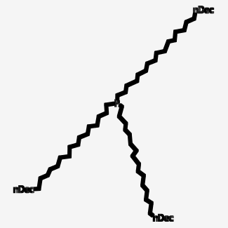 CCCCCCCCCCCCCCCCCCCCCCCCCCP(CCCCCCCCCCCCCCCCCCCCCCCCCC)CCCCCCCCCCCCCCCCCCCCCCCCCC